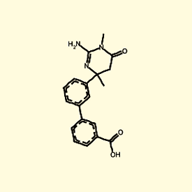 CN1C(=O)CC(C)(c2cccc(-c3cccc(C(=O)O)c3)c2)N=C1N